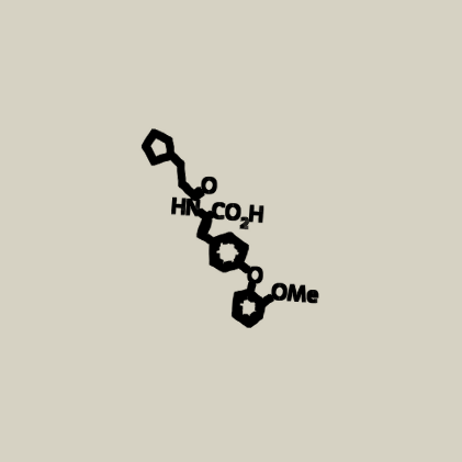 COc1ccccc1Oc1ccc(/C=C(/NC(=O)CCC2CCCC2)C(=O)O)cc1